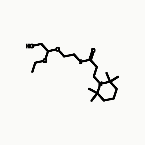 CCOC(CO)OCCSC(=O)CCN1C(C)(C)CCCC1(C)C